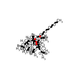 C=CCOCCOCCOCCOCCOCC(CNC(=O)C(C)(COC(=O)C(C)(C)C)COC(=O)C(C)(C)Br)(CNC(=O)C(C)(COC(=O)C(C)(C)Br)COC(=O)C(C)(C)Br)CNC(=O)C(C)(COC(=O)C(C)(C)Br)COC(=O)C(C)(C)Br